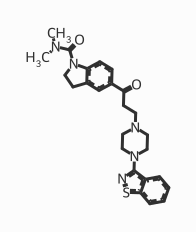 CN(C)C(=O)N1CCc2cc(C(=O)CCN3CCN(c4nsc5ccccc45)CC3)ccc21